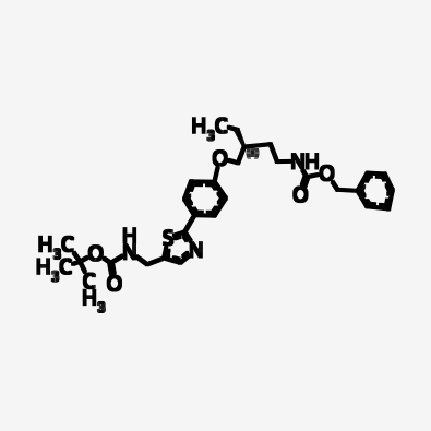 CC[C@@H](CCNC(=O)OCc1ccccc1)COc1ccc(-c2ncc(CNC(=O)OC(C)(C)C)s2)cc1